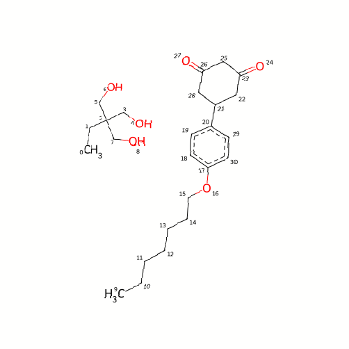 CCC(CO)(CO)CO.CCCCCCCOc1ccc(C2CC(=O)CC(=O)C2)cc1